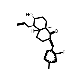 C=CC[C@H]1[C@H](O)CC[C@@]2(C)C(=O)/C(=C/c3ccc(C)cc3F)CC[C@H]12